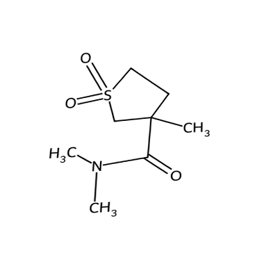 CN(C)C(=O)C1(C)CCS(=O)(=O)C1